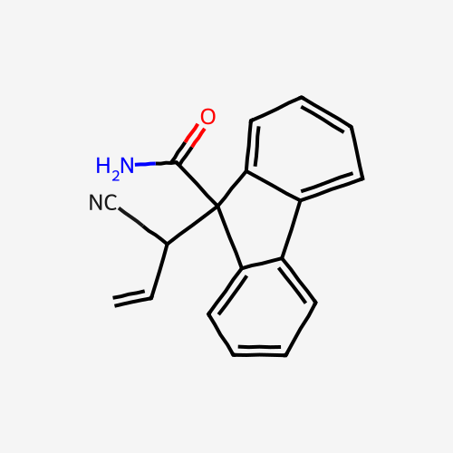 C=CC(C#N)C1(C(N)=O)c2ccccc2-c2ccccc21